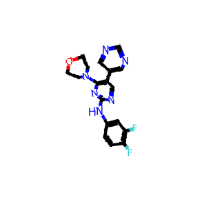 Fc1ccc(Nc2ncc(-c3cncnc3)c(N3CCOCC3)n2)cc1F